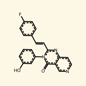 O=c1c2cnccc2nc(/C=C/c2ccc(F)cc2)n1-c1cccc(O)c1